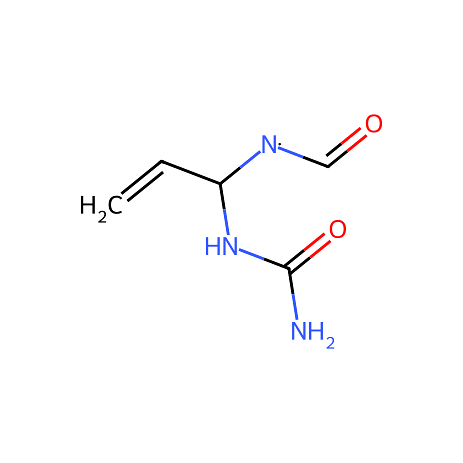 C=CC([N]C=O)NC(N)=O